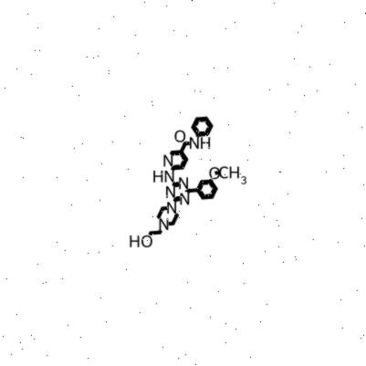 COc1cccc(-c2nc(Nc3ccc(C(=O)Nc4ccccc4)cn3)nc(N3CCN(CCO)CC3)n2)c1